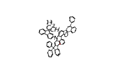 CC1(C)c2ccccc2-c2ccc(N(c3ccc4c(c3)C(c3ccccc3)(c3ccccc3)c3ccccc3-4)c3ccc4c(oc5c6ccccc6c(-c6ccccc6)cc45)c3-c3ccccc3)cc21